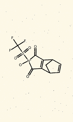 O=C1C2=C(C(=O)[N+]1([O-])S(=O)(=O)C(F)(F)F)C1C=CC2C1